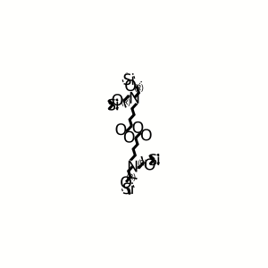 C[C@H](CN(CCCCC1OC(=O)C(CCCCN(C[C@@H](C)O[Si](C)(C)C)C[C@@H](C)O[Si](C)(C)C)OC1=O)C[C@@H](C)O[Si](C)(C)C)O[Si](C)(C)C